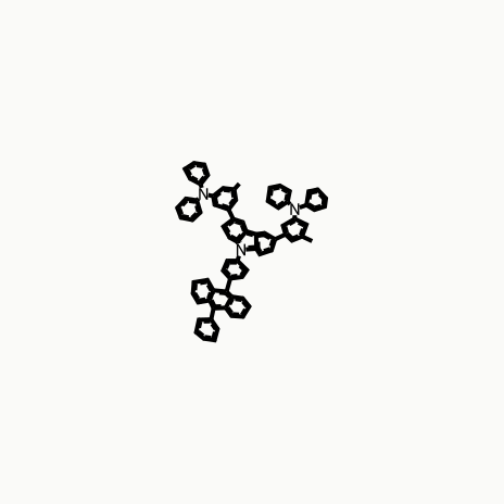 Cc1cc(-c2ccc3c(c2)c2cc(-c4cc(C)cc(N(c5ccccc5)c5ccccc5)c4)ccc2n3-c2ccc(-c3c4ccccc4c(-c4ccccc4)c4ccccc34)cc2)cc(N(c2ccccc2)c2ccccc2)c1